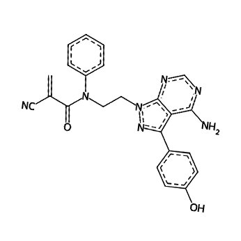 C=C(C#N)C(=O)N(CCn1nc(-c2ccc(O)cc2)c2c(N)ncnc21)c1ccccc1